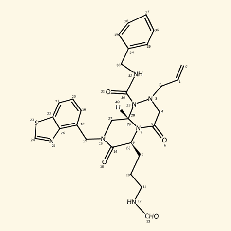 C=CCN1CC(=O)N2[C@@H](CCCNC=O)C(=O)N(Cc3cccc4scnc34)C[C@@H]2N1C(=O)NCc1ccccc1